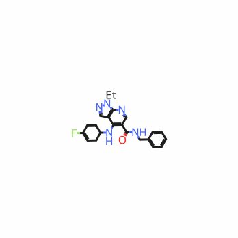 CCn1ncc2c(NC3CC=C(F)CC3)c(C(=O)NCc3ccccc3)cnc21